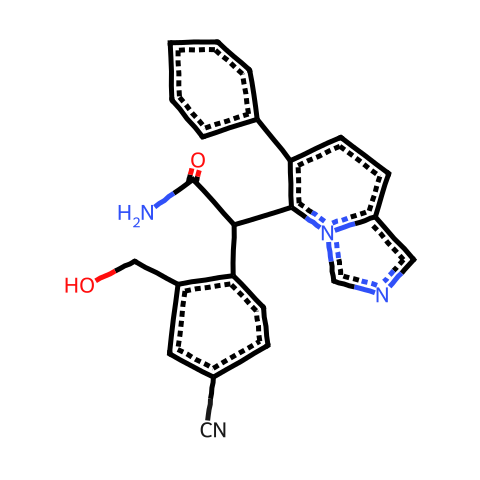 N#Cc1ccc(C(C(N)=O)c2c(-c3ccccc3)ccc3cncn23)c(CO)c1